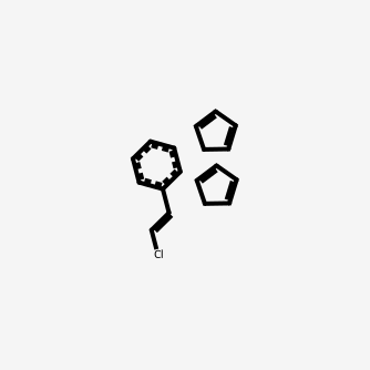 C1=CCC=C1.C1=CCC=C1.ClC=Cc1ccccc1